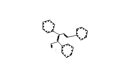 C=CC(=C(C=Cc1ccccc1)c1ccccc1)c1ccccc1